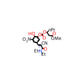 CCCC(CC(=O)OC)OC(=O)Oc1cc(/C=C(\C#N)C(=O)N(CC)CC)cc([N+](=O)[O-])c1O